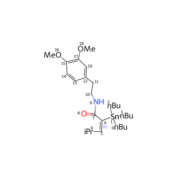 CCC[CH2][Sn]([CH2]CCC)([CH2]CCC)/[C](=C/C(C)C)C(=O)NCCc1ccc(OC)c(OC)c1